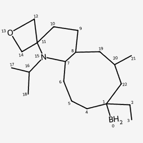 BC1(CC)CCCC2C(CCC3(COC3)N2C(C)C)CC(C)C1